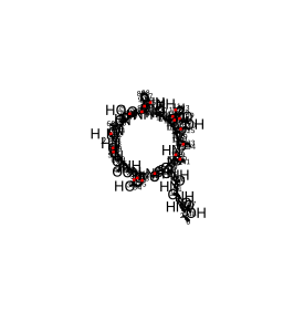 C#CC[C@H](NC(=O)CNC(=O)CNC(=O)CNC(=O)CC1CSCC(=O)N[C@@H](Cc2ccc(O)cc2)C(=O)N(C)[C@@H](C)C(=O)N[C@@H](CC=O)C(=O)N2CCC[C@H]2C(=O)N[C@@H](CN)C(=O)N[C@@H](CC(C)C)C(=O)N2C[C@H](O)C[C@H]2C(=O)N[C@@H](Cc2c[nH]c3ccccc23)C(=O)N[C@@H](CCN)C(=O)N[C@@H](Cc2cn(CC(=O)O)c3ccccc23)C(=O)N(C)[C@@H](CCCC)C(=O)N(C)[C@@H](CCCC)C(=O)N[C@@H](CC(C)C)C(=O)N1)C(=O)O